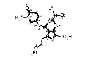 CCOCCn1nc(C(=O)O)c2nc(N(CC)CC)nc(Nc3ccc(=O)n(C)c3)c21